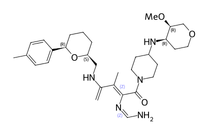 C=C(NC[C@@H]1CCC[C@H](c2ccc(C)cc2)O1)/C(C)=C(\N=C/N)C(=O)N1CCC(N[C@@H]2CCOC[C@@H]2OC)CC1